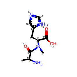 C[C@H](N)C(=O)N(C)[C@@H](Cc1cnc[nH]1)C(=O)O